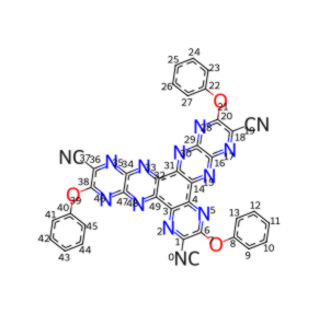 [C-]#[N+]c1nc2c(nc1Oc1ccccc1)c1nc3nc(C#N)c(Oc4ccccc4)nc3nc1c1nc3nc(C#N)c(Oc4ccccc4)nc3nc21